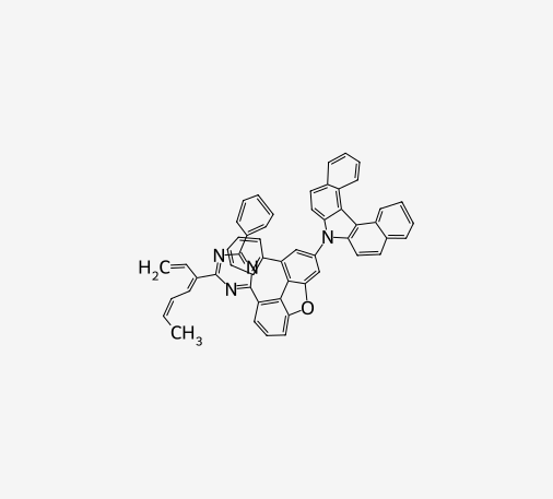 C=C/C(=C\C=C/C)c1nc(-c2ccccc2)nc(-c2cccc3oc4cc(-n5c6ccc7ccccc7c6c6c7ccccc7ccc65)cc(-c5ccccc5)c4c23)n1